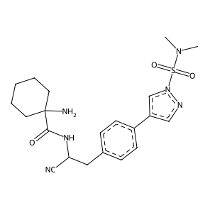 CN(C)S(=O)(=O)n1cc(-c2ccc(CC(C#N)NC(=O)C3(N)CCCCC3)cc2)cn1